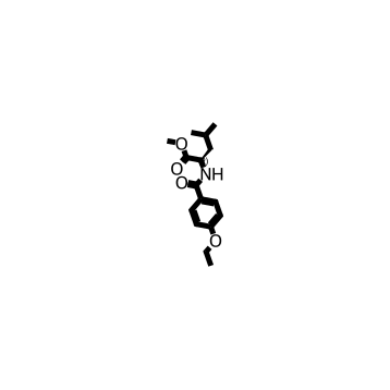 CCOc1ccc(C(=O)N[C@H](CC(C)C)C(=O)OC)cc1